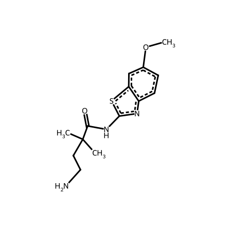 COc1ccc2nc(NC(=O)C(C)(C)CCN)sc2c1